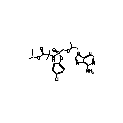 CC(C)OC(=O)C(C)(C)NP(=O)(COC(C)Cn1cnc2c(N)ncnc21)Oc1ccc(Cl)cc1